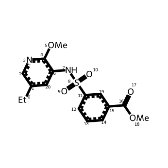 CCc1cnc(OC)c(NS(=O)(=O)c2cccc(C(=O)OC)c2)c1